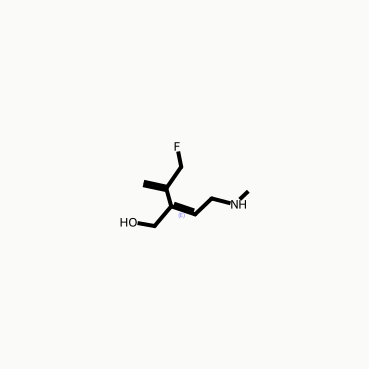 C=C(CF)/C(=C\CNC)CO